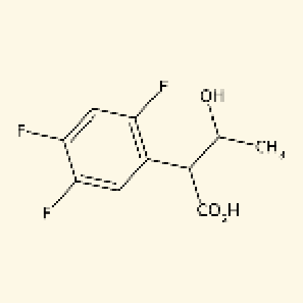 CC(O)C(C(=O)O)c1cc(F)c(F)cc1F